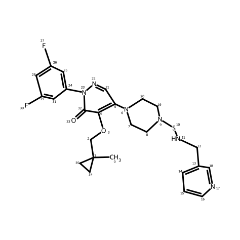 CC1(COc2c(N3CCN(SNCc4cccnc4)CC3)cnn(-c3cc(F)cc(F)c3)c2=O)CC1